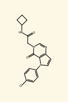 O=C(Cn1cnc2ccn(-c3ccc(Cl)cc3)c2c1=O)NC1CCC1